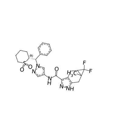 CC12Cc3[nH]nc(C(=O)Nc4cnn(C(c5ccccc5)[C@H]5CCCCS5(=O)=O)c4)c3CC1C2(F)F